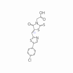 O=C(O)CN1C(=O)/C(=C/c2ncc(-c3ccc(Cl)cc3)s2)SC1=S